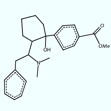 COC(=O)c1ccc(C2(O)CCCCC2C(Cc2ccccc2)N(C)C)cc1